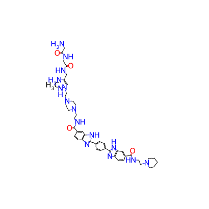 CNN(/C=C(\N)CNC(=O)CNC(=O)CN)CCN1CCN(CCNC(=O)c2ccc3nc(-c4ccc(-c5nc6ccc(C(=O)NCCN7CCCCC7)cc6[nH]5)cc4)[nH]c3c2)CC1